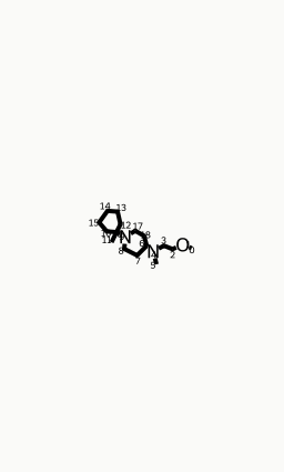 COCCN(C)C1CCN(C2(C)CCCCC2)CC1